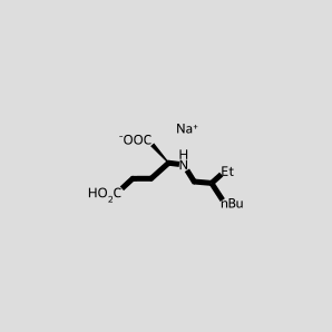 CCCCC(CC)CN[C@@H](CCC(=O)O)C(=O)[O-].[Na+]